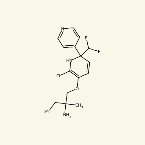 CC(C)CC(C)(N)COC1=C(Cl)NC(c2ccncc2)(C(F)F)C=C1